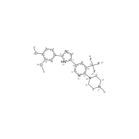 COc1ccc(-c2ncc(-c3cnc(N4CCN(C)CC4)c(C(F)(F)F)c3)[nH]2)cc1OC